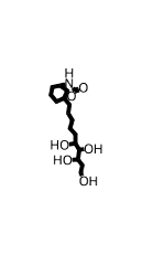 O=C1NC2CCCC(CCCCCC(O)C(O)C(O)CCO)(C2)O1